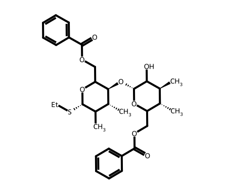 CCS[C@@H]1OC(COC(=O)c2ccccc2)[C@@H](O[C@H]2OC(COC(=O)c3ccccc3)[C@@H](C)[C@H](C)C2O)[C@H](C)C1C